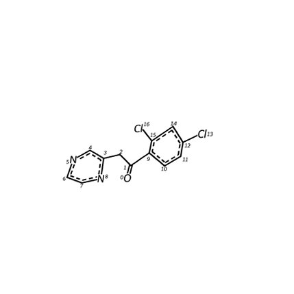 O=C(Cc1cnccn1)c1ccc(Cl)cc1Cl